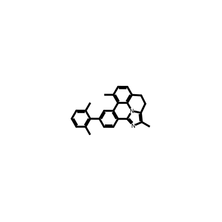 Cc1cccc(C)c1-c1ccc2c(c1)c1c(C)ccc3c1n1c(c(C)nc21)CC3